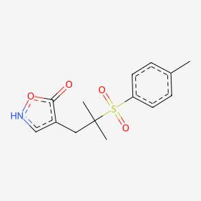 Cc1ccc(S(=O)(=O)C(C)(C)Cc2c[nH]oc2=O)cc1